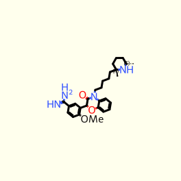 COc1ccc(C(=N)N)cc1C1Oc2ccccc2N(CCCCC[C@]2(C)CCC[C@H](C)N2)C1=O